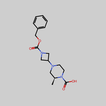 C[C@H]1CN(C2CN(C(=O)OCc3ccccc3)C2)CCN1C(=O)O